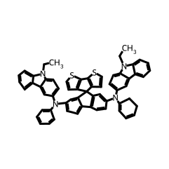 CCn1c2ccccc2c2cc(N(C3=CC=CCC3)c3ccc4c(c3)C3(c5cc(N(c6ccccc6)c6ccc7c(c6)c6ccccc6n7CC)ccc5-4)c4ccsc4-c4sccc43)ccc21